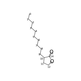 CCCCCCCCCCC1CCOC1=O